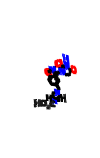 O=C1CCN(c2noc3ccc(CN4C[C@@H]5C[C@H]4CN5C(=O)O)cc23)C(=O)N1